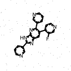 Fc1cnccc1-c1cc2nc(-c3cccnc3)[nH]c2nc1-c1cccnc1